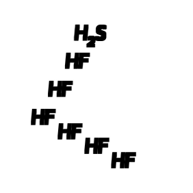 F.F.F.F.F.F.S